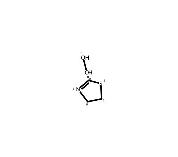 OO.[C]1=NCCS1